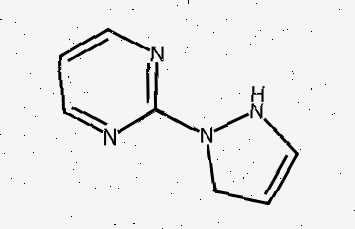 C1=CNN(c2ncccn2)C1